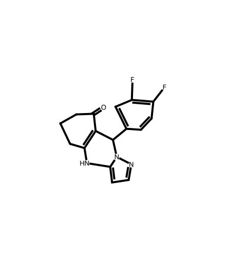 O=C1CCCC2=C1C(c1ccc(F)c(F)c1)n1nccc1N2